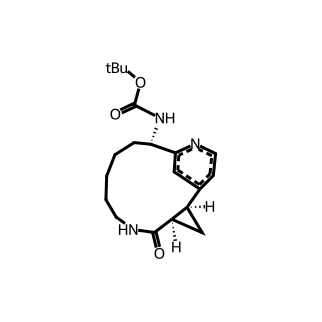 CC(C)(C)OC(=O)N[C@H]1CCCCCNC(=O)[C@@H]2C[C@@H]2c2ccnc1c2